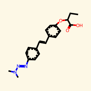 CCC(Oc1ccc(C=Cc2ccc(N=NN(C)C)cc2)cc1)C(=O)O